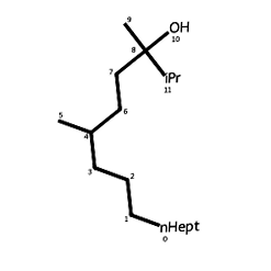 CCCCCCCCCCC(C)CCC(C)(O)C(C)C